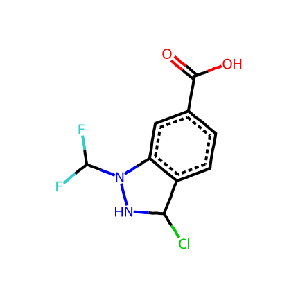 O=C(O)c1ccc2c(c1)N(C(F)F)NC2Cl